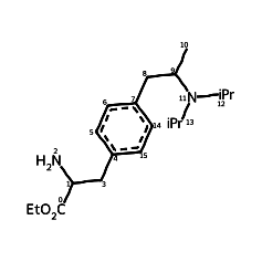 CCOC(=O)C(N)Cc1ccc(CC(C)N(C(C)C)C(C)C)cc1